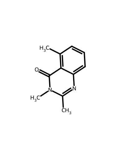 Cc1cccc2nc(C)n(C)c(=O)c12